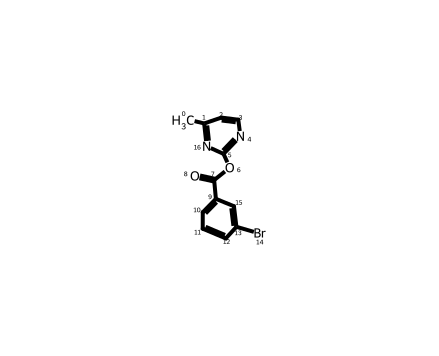 Cc1ccnc(OC(=O)c2cccc(Br)c2)n1